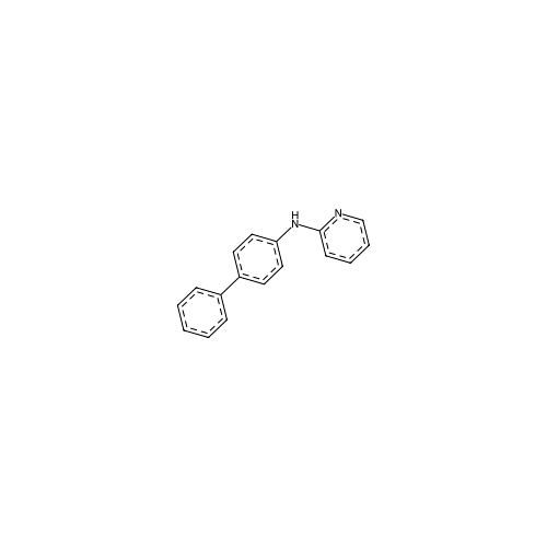 c1ccc(-c2ccc(Nc3ccccn3)cc2)cc1